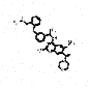 CNCc1ccccc1Sc1cccc(C(C)Nc2nc(C)nc3cc(C(=O)N4CCOCC4)c(OC)cc23)c1